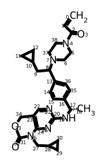 C=CC(=O)N1CCN(C(CC2CC2)c2ccc([C@H](C)Nc3ncc4c(n3)N(CC3CC3)C(=O)OC4)cc2)CC1